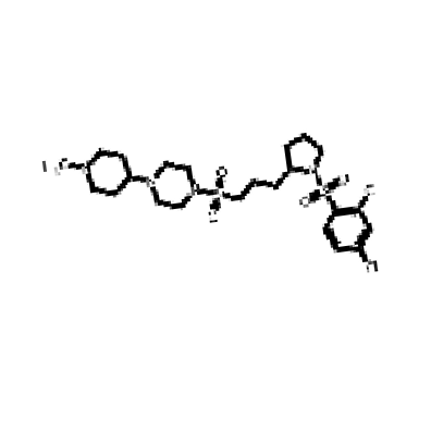 CN1CCC(N2CCN(S(=O)(=O)CCCC3CCCN3S(=O)(=O)c3ccc(Cl)cc3Cl)CC2)CC1